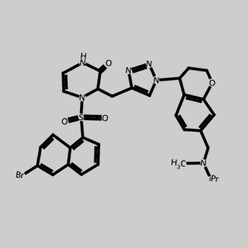 CC(C)N(C)Cc1ccc2c(c1)OCCC2n1cc(CC2C(=O)NC=CN2S(=O)(=O)c2cccc3cc(Br)ccc23)nn1